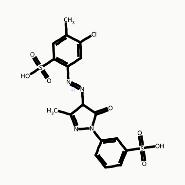 CC1=NN(c2cccc(S(=O)(=O)O)c2)C(=O)C1/N=N/c1cc(Cl)c(C)cc1S(=O)(=O)O